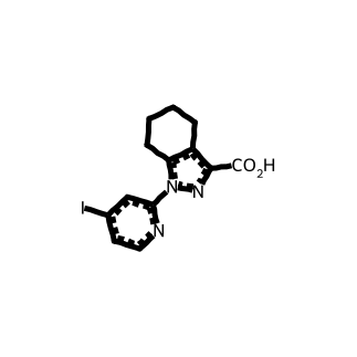 O=C(O)c1nn(-c2cc(I)ccn2)c2c1CCCC2